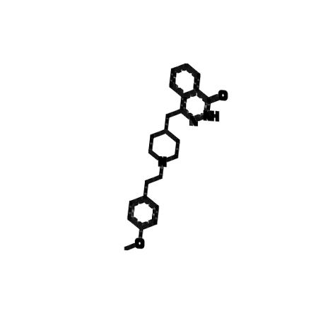 COc1ccc(CCN2CCC(Cc3n[nH]c(=O)c4ccccc34)CC2)cc1